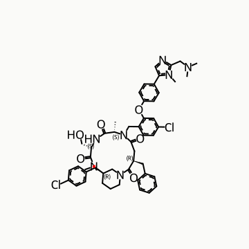 C[C@H]1C(=O)N[C@@H](CO)C(=O)N(C)[C@@]2(Cc3ccc(Cl)cc3)CCCN(C2)C(=O)[C@H](Cc2ccccc2)CC(=O)N1Cc1ccc(Cl)cc1Oc1ccc(-c2cnc(CN(C)C)n2C)cc1